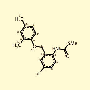 CSC(=O)Nc1ccc(F)cc1COc1ccc(C)cc1C